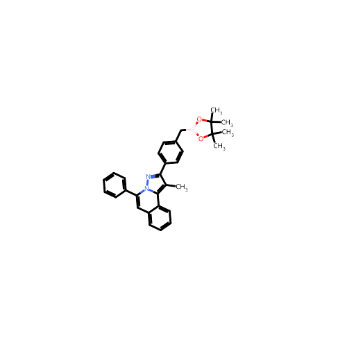 Cc1c(-c2ccc(CB3OC(C)(C)C(C)(C)O3)cc2)nn2c(-c3ccccc3)cc3ccccc3c12